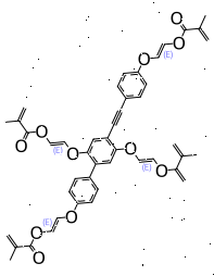 C=C(C)C(=C)O/C=C/Oc1cc(-c2ccc(O/C=C/OC(=O)C(=C)C)cc2)c(O/C=C/OC(=O)C(=C)C)cc1C#Cc1ccc(O/C=C/OC(=O)C(=C)C)cc1